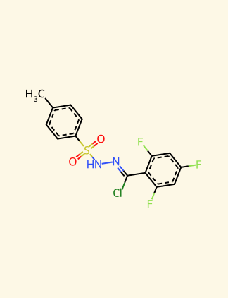 Cc1ccc(S(=O)(=O)NN=C(Cl)c2c(F)cc(F)cc2F)cc1